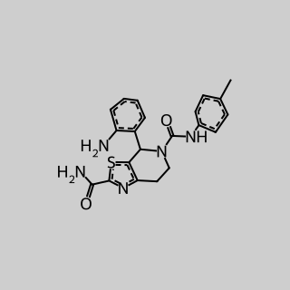 Cc1ccc(NC(=O)N2CCc3nc(C(N)=O)sc3C2c2ccccc2N)cc1